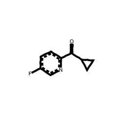 O=C(c1ccc(F)cn1)C1CC1